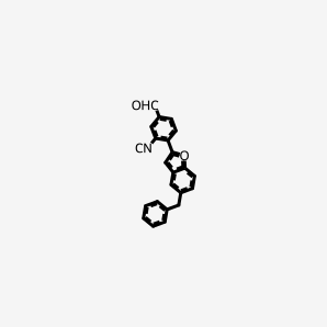 [C-]#[N+]c1cc(C=O)ccc1-c1cc2cc(Cc3ccccc3)ccc2o1